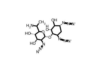 CC(N)C1O[C@H](O[C@@H]2C(N=[N+]=[N-])C[C@@H](N=[N+]=[N-])C(O)[C@H]2O)C(N=[N+]=[N-])[C@@H](O)[C@@H]1O